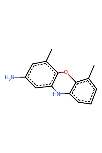 Cc1cccc2c1Oc1c(C)cc(N)cc1N2